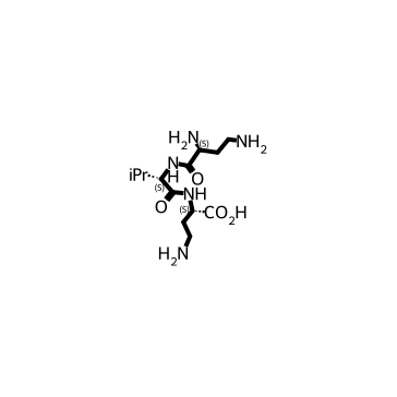 CC(C)[C@H](NC(=O)[C@@H](N)CCN)C(=O)N[C@@H](CCN)C(=O)O